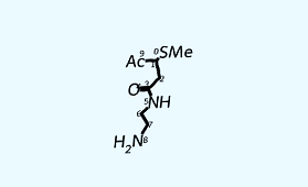 CSC(CC(=O)NCCN)C(C)=O